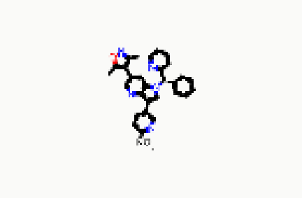 Cc1noc(C)c1-c1cnc2c(-c3ccc([N+](=O)[O-])nc3)cn([C@H](c3ccccc3)c3ccccn3)c2c1